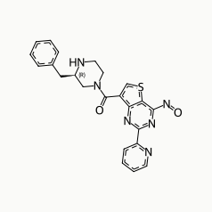 O=Nc1nc(-c2ccccn2)nc2c(C(=O)N3CCN[C@H](Cc4ccccc4)C3)csc12